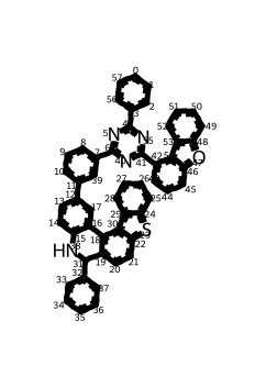 c1ccc(-c2nc(-c3cccc(-c4ccc5c(c4)-c4c(ccc6sc7ccccc7c46)C(c4ccccc4)N5)c3)nc(-c3cccc4oc5ccccc5c34)n2)cc1